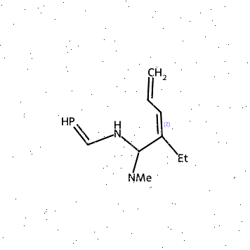 C=C/C=C(/CC)C(NC)NC=P